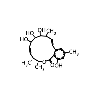 Cc1cc(O)c2c(c1)/C=C/C(C)[C@H](O)[C@H](O)C(O)/C=C\[C@@H](C)[C@H](C)OC2=O